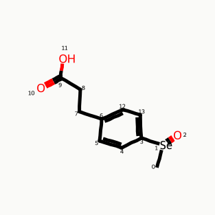 C[Se](=O)c1ccc(CCC(=O)O)cc1